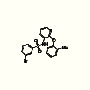 CC(C)(C)c1ccccc1Oc1ncccc1NS(=O)(=O)c1cccc(Br)c1